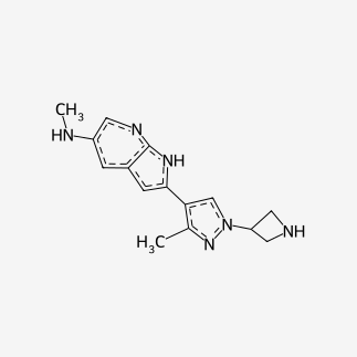 CNc1cnc2[nH]c(-c3cn(C4CNC4)nc3C)cc2c1